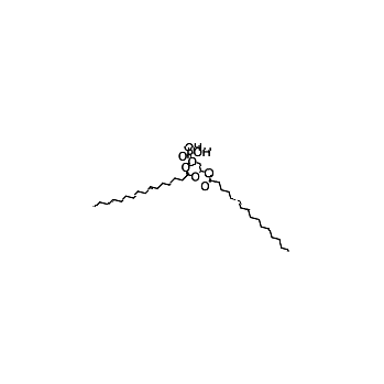 CCCCCCCCCCCCCCCC(=O)OC(COP(=O)(O)O)OC(=O)CCCCCCCCCCCCCCC